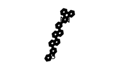 c1cc(-c2cnc3c4ccccc4c4ccccc4c3n2)cc(-c2cccc3c(-c4cccc5c(-c6ccc7sc8ccccc8c7c6)cccc45)cccc23)c1